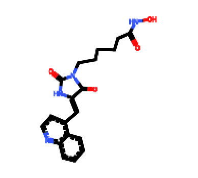 O=C(CCCCCN1C(=O)NC(=Cc2ccnc3ccccc23)C1=O)NO